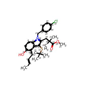 C/C=C/Cc1c(O)ccc2c1c(SC(C)(C)C)c(CC(C)(C)C(=O)OC)n2Cc1ccc(Cl)cc1